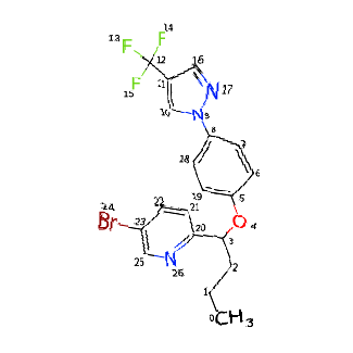 CCCC(Oc1ccc(-n2cc(C(F)(F)F)cn2)cc1)c1ccc(Br)cn1